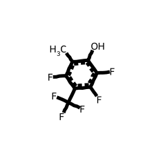 Cc1c(O)c(F)c(F)c(C(F)(F)F)c1F